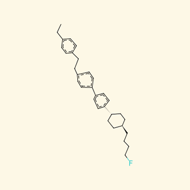 CCc1ccc(CCc2ccc(-c3ccc([C@H]4CC[C@H](CCCCF)CC4)cc3)cc2)cc1